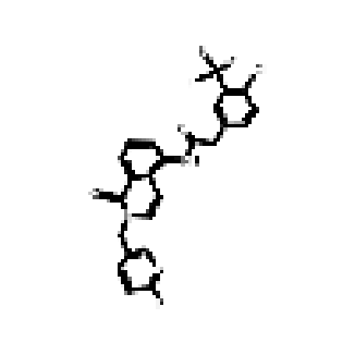 O=C(Cc1ccc(Cl)c(C(F)(F)F)c1)Nc1cccc2c(=O)n(Cc3ccc(F)nc3)ccc12